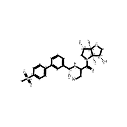 CC(C)CC(N[C@@H](c1cccc(-c2ccc(S(C)(=O)=O)cc2)c1)C(F)(F)F)C(=O)N1C[C@H](F)[C@H]2OC[C@H](O)[C@H]21